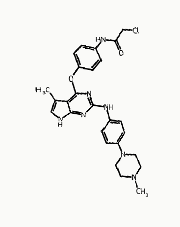 Cc1c[nH]c2nc(Nc3ccc(N4CCN(C)CC4)cc3)nc(Oc3ccc(NC(=O)CCl)cc3)c12